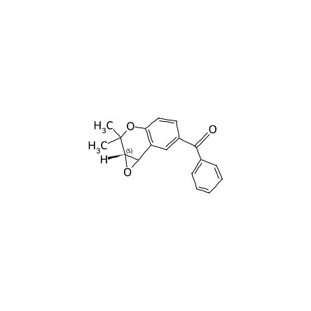 CC1(C)Oc2ccc(C(=O)c3ccccc3)cc2C2O[C@@H]21